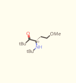 COCC[C@H](NC(C)(C)C)C(=O)C(C)(C)C